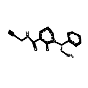 C#CCNC(=O)c1cccn([C@@H](CN)c2ccccc2)c1=O